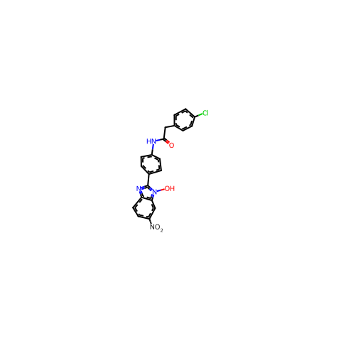 O=C(Cc1ccc(Cl)cc1)Nc1ccc(-c2nc3ccc([N+](=O)[O-])cc3n2O)cc1